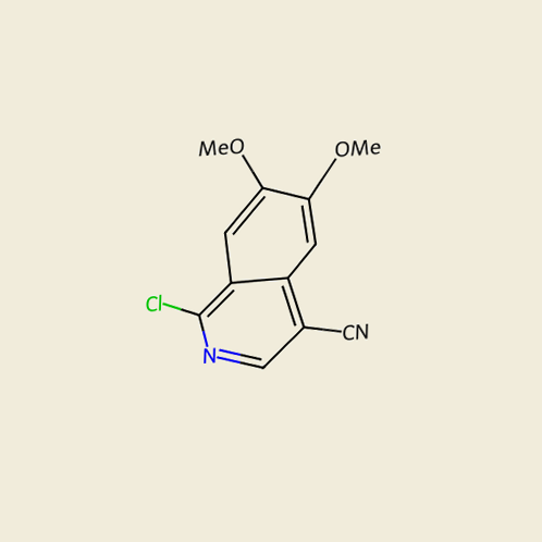 COc1cc2c(C#N)cnc(Cl)c2cc1OC